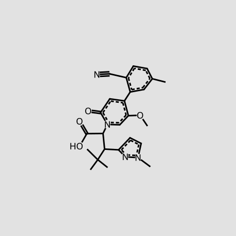 COc1cn(C(C(=O)O)C(c2ccn(C)n2)C(C)(C)C)c(=O)cc1-c1cc(C)ccc1C#N